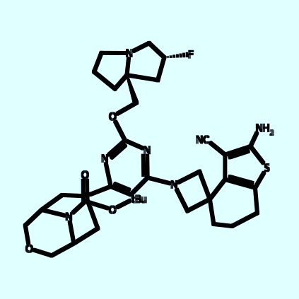 CC(C)(C)OC(=O)N1C2COCC1CN(c1cc(N3CC4(CCCc5sc(N)c(C#N)c54)C3)nc(OC[C@@]34CCCN3C[C@H](F)C4)n1)C2